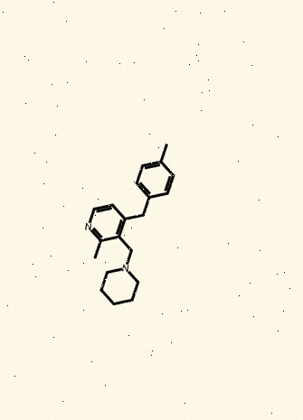 Cc1ccc(Cc2ccnc(C)c2CN2CCCCC2)cc1